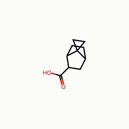 O=C(O)C1CC2CCC1C21CC1